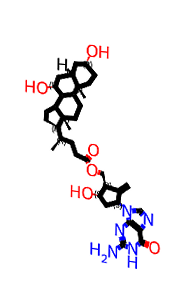 C=C1[C@H](COC(=O)CC[C@@H](C)[C@H]2CCC3C4C(CC[C@@]32C)[C@@]2(C)CC[C@@H](O)C[C@H]2C[C@H]4O)[C@@H](O)C[C@@H]1n1cnc2c(=O)[nH]c(N)nc21